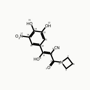 N#C/C(C(=O)N1CCC1)=C(/O)c1cc(O)c(O)c([N+](=O)[O-])c1